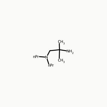 CCCN(CCC)CC(C)(C)N